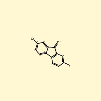 Cc1ccc2c(c1)C(=O)c1cc(O)ccc1-2